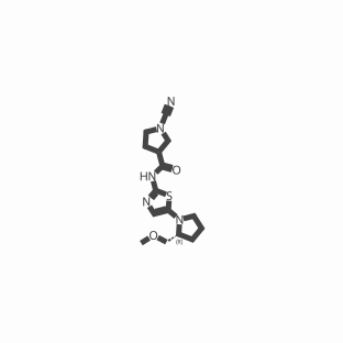 COC[C@H]1CCCN1c1cnc(NC(=O)C2CCN(C#N)C2)s1